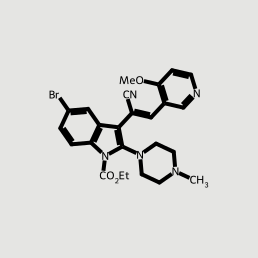 CCOC(=O)n1c(N2CCN(C)CC2)c(/C(C#N)=C/c2cnccc2OC)c2cc(Br)ccc21